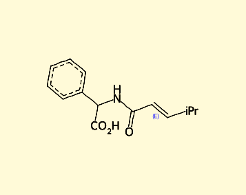 CC(C)/C=C/C(=O)NC(C(=O)O)c1ccccc1